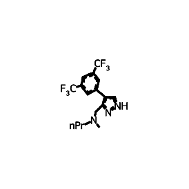 CCCN(C)Cc1n[nH]cc1-c1cc(C(F)(F)F)cc(C(F)(F)F)c1